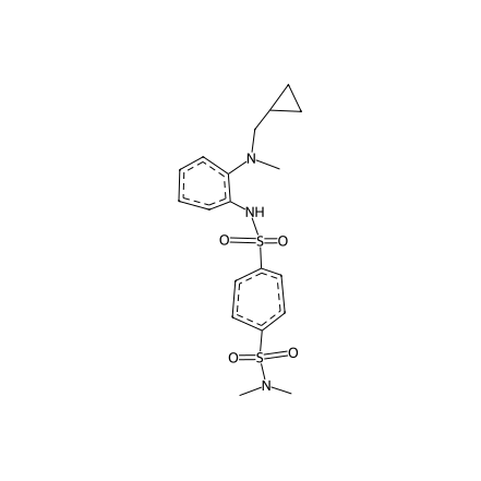 CN(CC1CC1)c1ccccc1NS(=O)(=O)c1ccc(S(=O)(=O)N(C)C)cc1